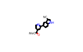 COC(=O)c1ccnc(-c2ccc3[nH]cc(C#N)c3c2)c1